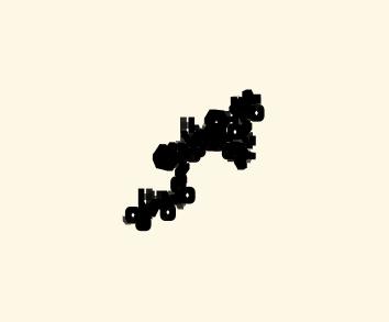 CC[C@H](C)[C@@H]([C@@H](CC(=O)N1CCCC[C@H]1[C@H](OC)[C@@H](C)C(=O)N[C@@H](Cc1ccccc1)C(=O)NCCCOC(=O)[C@H](C)NC(=O)CCNC(=O)OC)OC)N(C)C(=O)CNC(=O)C(C(C)C)N(C)C